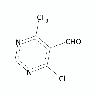 O=Cc1c(Cl)ncnc1C(F)(F)F